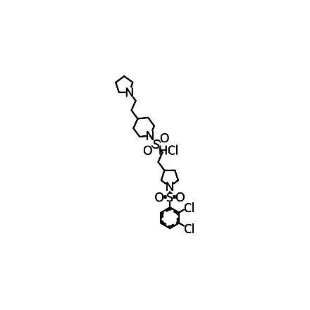 Cl.O=S(=O)(CCC1CCN(S(=O)(=O)c2cccc(Cl)c2Cl)C1)N1CCC(CCN2CCCC2)CC1